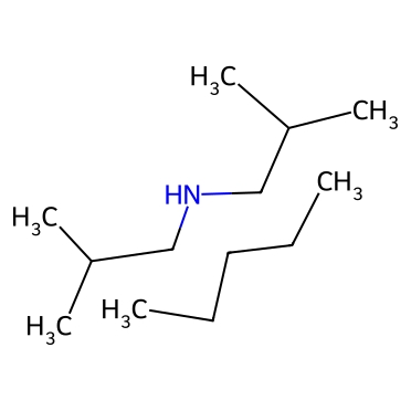 CC(C)CNCC(C)C.CCCCC